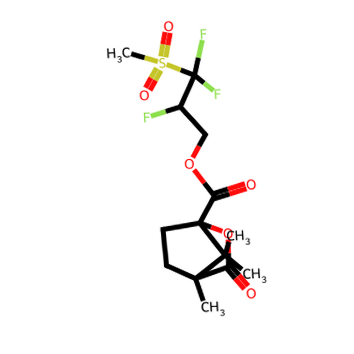 CC12CCC(C(=O)OCC(F)C(F)(F)S(C)(=O)=O)(OC1=O)C2(C)C